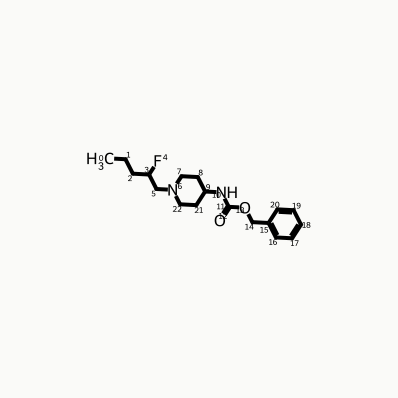 CCCC(F)CN1CCC(NC(=O)OCc2ccccc2)CC1